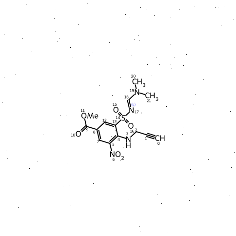 C#CCNc1c([N+](=O)[O-])cc(C(=O)OC)cc1S(=O)(=O)/N=C/N(C)C